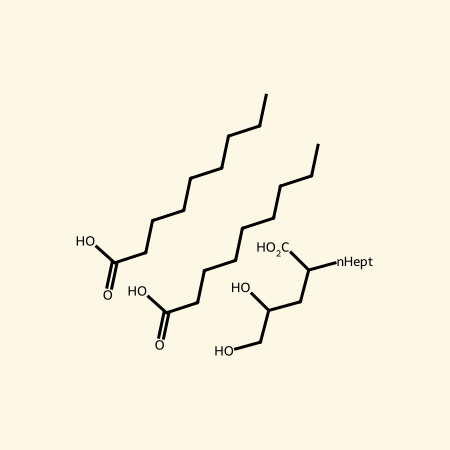 CCCCCCCC(CC(O)CO)C(=O)O.CCCCCCCCC(=O)O.CCCCCCCCC(=O)O